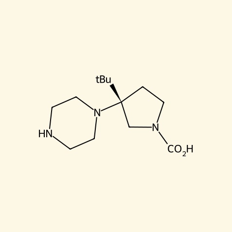 CC(C)(C)[C@@]1(N2CCNCC2)CCN(C(=O)O)C1